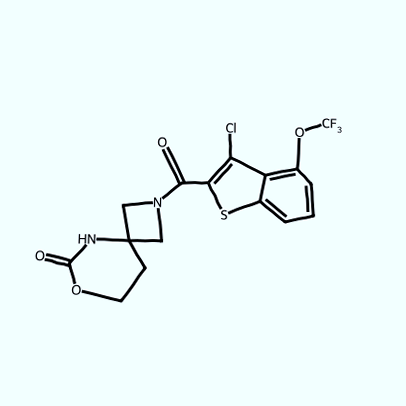 O=C1NC2(CCO1)CN(C(=O)c1sc3cccc(OC(F)(F)F)c3c1Cl)C2